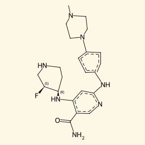 CN1CCN(c2ccc(Nc3cc(N[C@@H]4CCNC[C@@H]4F)c(C(N)=O)cn3)cc2)CC1